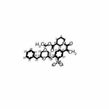 C=C(C(=O)N1CCCC(C(=O)OCC)C1)c1ccc(SC2COCC(Cc3ccccc3)O2)c([N+](=O)[O-])c1